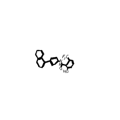 O=C(Nc1ccc(-c2cccc3c2C=CCC3)cc1)c1c(O)cccc1C(F)(F)F